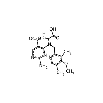 COc1c(C)cnc(CN(c2nc(N)ncc2[N+](=O)[O-])[C@@H](C)C(=O)O)c1C